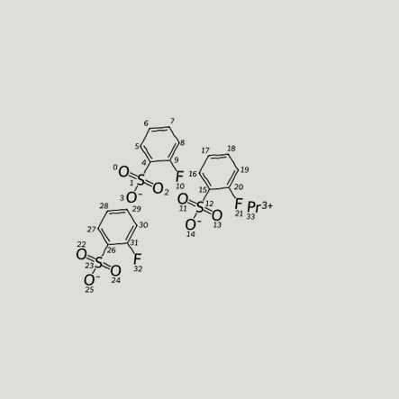 O=S(=O)([O-])c1ccccc1F.O=S(=O)([O-])c1ccccc1F.O=S(=O)([O-])c1ccccc1F.[Pr+3]